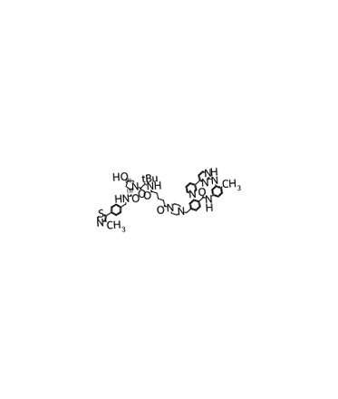 Cc1ccc(NC(=O)c2ccc(CN3CCN(C(=O)CCCC(=O)NC(C(=O)N4C[C@H](O)C[C@H]4C(=O)NCc4ccc(-c5scnc5C)cc4)C(C)(C)C)CC3)cc2)cc1Nc1nccc(-c2cccnc2)n1